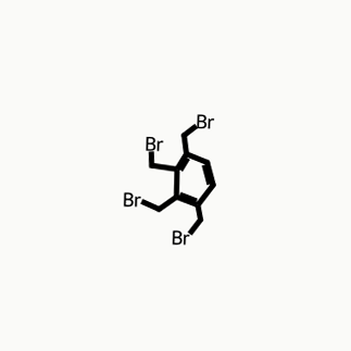 BrCc1ccc(CBr)c(CBr)c1CBr